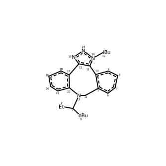 CCCCC(CC)N1Cc2ccccc2-c2c(nnn2C(C)CC)-c2ccccc21